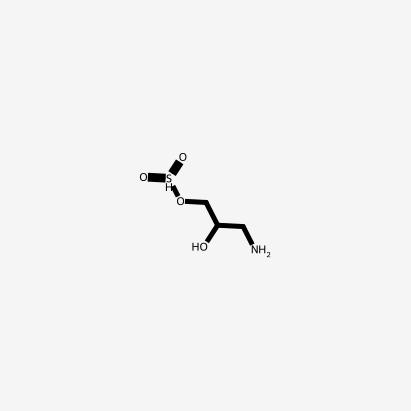 NCC(O)CO[SH](=O)=O